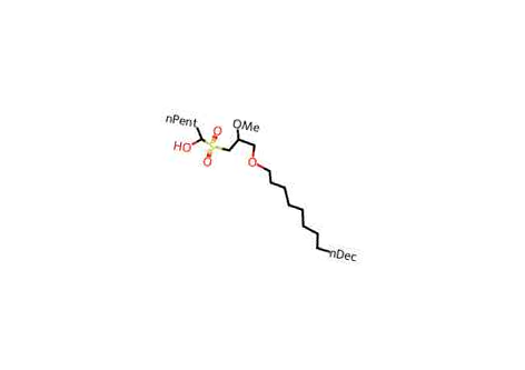 CCCCCCCCCCCCCCCCCCOCC(CS(=O)(=O)C(O)CCCCC)OC